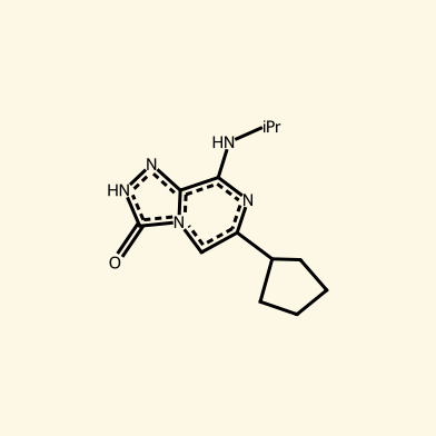 CC(C)Nc1nc(C2CCCC2)cn2c(=O)[nH]nc12